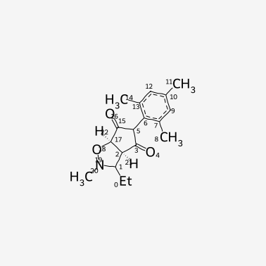 CCC1[C@@H]2C(=O)C(c3c(C)cc(C)cc3C)C(=O)[C@@H]2ON1C